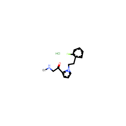 CCNCC(=O)c1cccn1CCc1ccccc1F.Cl